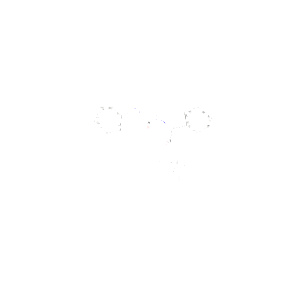 CC(C)(C)OC(=O)[C@@H](NC(=O)Nc1ccc(Br)cc1F)c1ccccc1